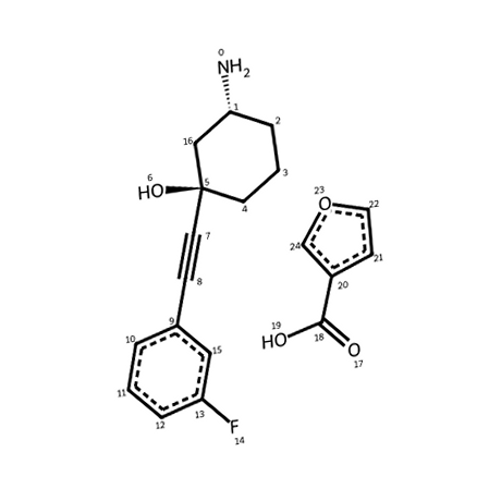 N[C@@H]1CCC[C@](O)(C#Cc2cccc(F)c2)C1.O=C(O)c1ccoc1